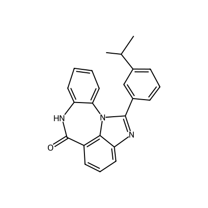 CC(C)c1cccc(-c2nc3cccc4c3n2-c2ccccc2NC4=O)c1